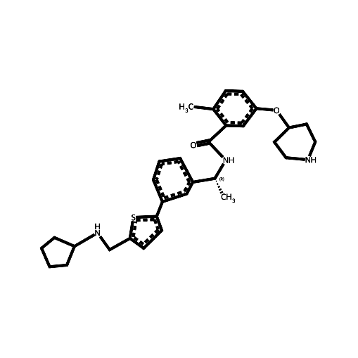 Cc1ccc(OC2CCNCC2)cc1C(=O)N[C@H](C)c1cccc(-c2ccc(CNC3CCCC3)s2)c1